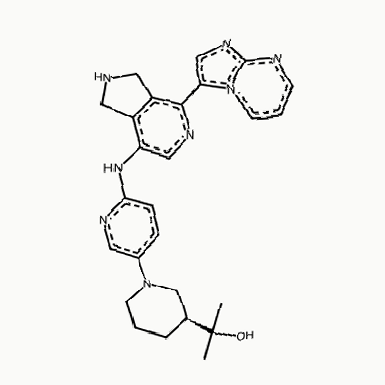 CC(C)(O)[C@H]1CCCN(c2ccc(Nc3cnc(-c4cnc5ncccn45)c4c3CNC4)nc2)C1